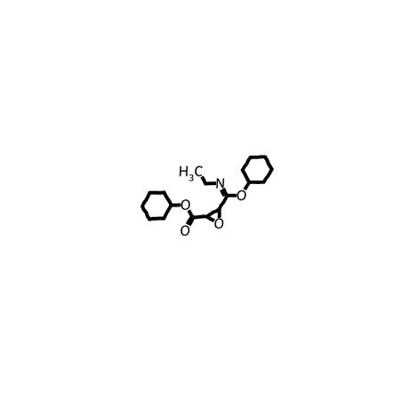 CCN=C(OC1CCCCC1)C1OC1C(=O)OC1CCCCC1